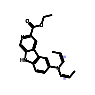 C/C=C\N(/C=C\C)c1ccc2[nH]c3cnc(C(=O)OCC)cc3c2c1